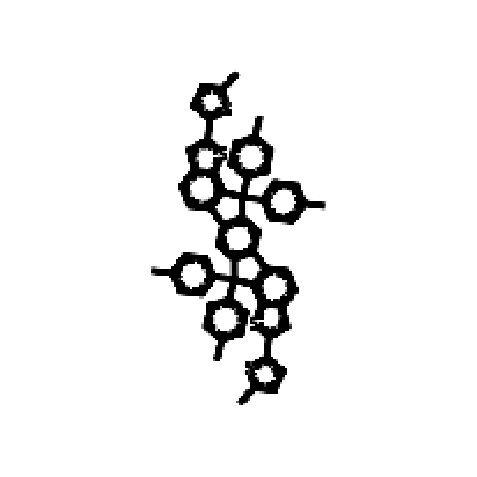 Cc1ccc(C2(c3ccc(C)cc3)c3cc4c(cc3-c3ccc5cc(-c6ccc(C)s6)sc5c32)C(c2ccc(C)cc2)(c2ccc(C)cc2)c2c-4ccc3cc(-c4ccc(C)s4)sc23)cc1